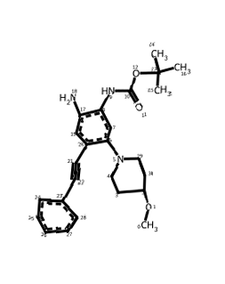 COC1CCN(c2cc(NC(=O)OC(C)(C)C)c(N)cc2C#Cc2ccccc2)CC1